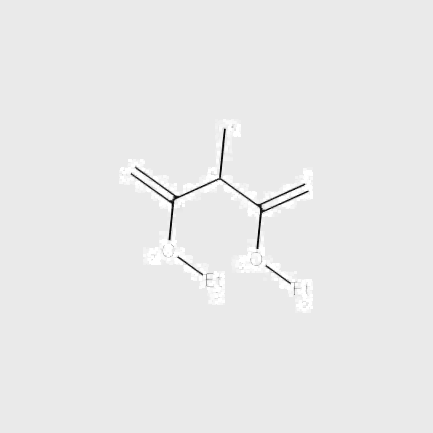 C=C(OCC)C(C)C(=C)OCC